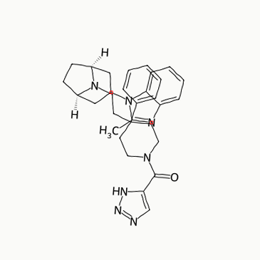 Cc1nc2ccccc2n1C1C[C@H]2CC[C@@H](C1)N2CCC1(c2ccccc2)CCN(C(=O)c2cnn[nH]2)CC1